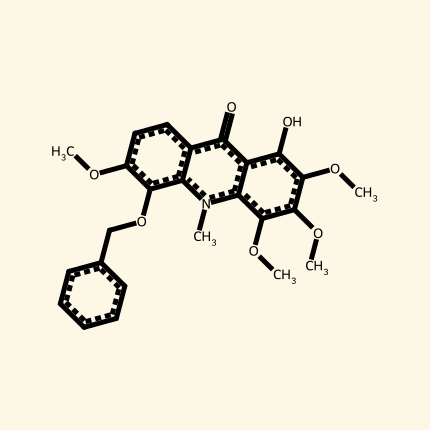 COc1ccc2c(=O)c3c(O)c(OC)c(OC)c(OC)c3n(C)c2c1OCc1ccccc1